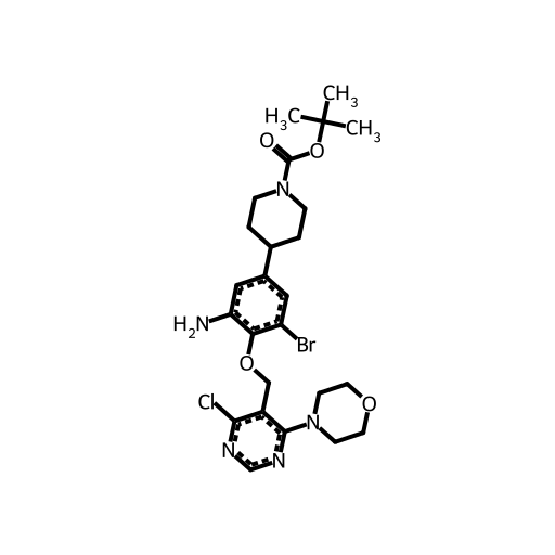 CC(C)(C)OC(=O)N1CCC(c2cc(N)c(OCc3c(Cl)ncnc3N3CCOCC3)c(Br)c2)CC1